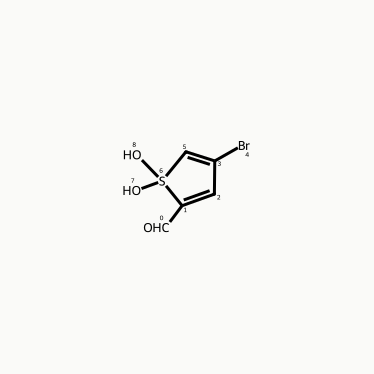 O=CC1=CC(Br)=CS1(O)O